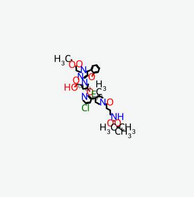 CCOC(=O)Cc1nc(N2C[C@@H](Oc3ncc(Cl)cc3[C@@]3(F)CCN(C(=O)CCCNC(=O)OC(C)(C)C)C[C@@H]3C)C[C@H]2C(=O)O)c2oc3ccccc3c2n1